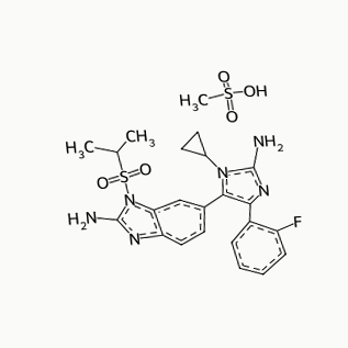 CC(C)S(=O)(=O)n1c(N)nc2ccc(-c3c(-c4ccccc4F)nc(N)n3C3CC3)cc21.CS(=O)(=O)O